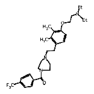 CCN(CC)CCOc1ccc(CCN2CCN(C(=O)c3ccc(C(F)(F)F)cc3)CC2)c(C)c1C